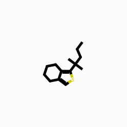 CCCC(C)(C)c1scc2c1CCCC2